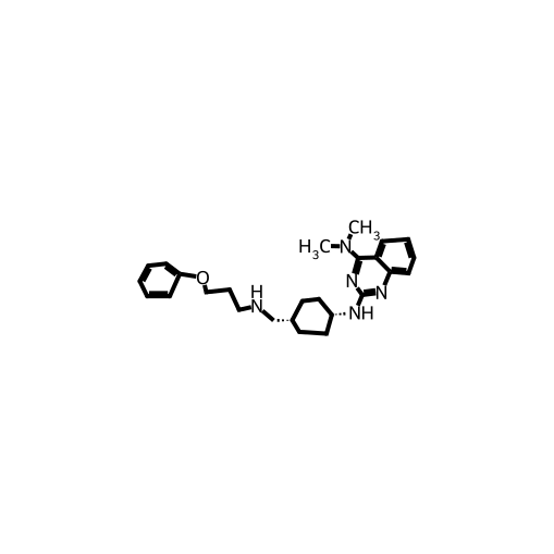 CN(C)c1nc(N[C@H]2CC[C@@H](CNCCCOc3ccccc3)CC2)nc2ccccc12